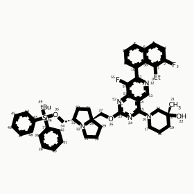 CCc1c(F)ccc2cccc(-c3ncc4c(N5CCC[C@@](C)(O)C5)nc(OC[C@@]56CCCN5[C@H](CO[Si](c5ccccc5)(c5ccccc5)C(C)(C)C)CC6)nc4c3F)c12